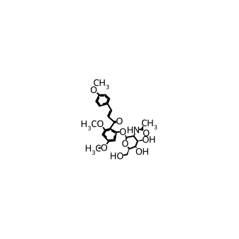 COc1ccc(C=CC(=O)c2c(OC)cc(OC)cc2O[C@@H]2O[C@H](CO)[C@@H](O)[C@H](O)[C@@H]2NC(C)=O)cc1